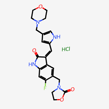 Cl.O=C1Nc2cc(F)c(CN3CCOC3=O)cc2C1=Cc1cc(CN2CCOCC2)c[nH]1